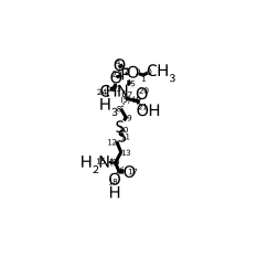 CCOP(=O)(CN[C@@H](CCSSCC[C@H](N)C(=O)O)C(=O)O)OCC